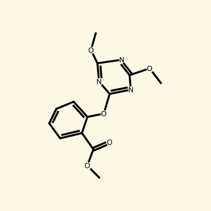 COC(=O)c1ccccc1Oc1nc(OC)nc(OC)n1